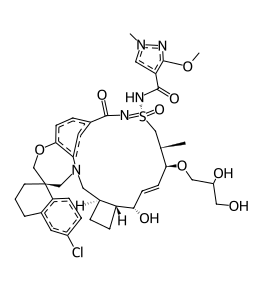 COc1nn(C)cc1C(=O)N[S@@]1(=O)=NC(=O)c2ccc3c(c2)N(C[C@@H]2CC[C@H]2[C@@H](O)/C=C/[C@H](OCC(O)CO)[C@H](C)C1)C[C@@]1(CCCc2cc(Cl)ccc21)CO3